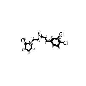 CN(CCc1ccc(Cl)c(Cl)c1)CCN1CCCC1=O